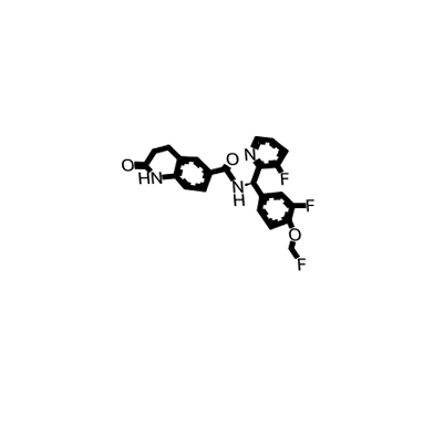 O=C1CCc2cc(C(=O)N[C@@H](c3ccc(OCF)c(F)c3)c3ncccc3F)ccc2N1